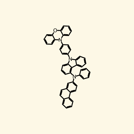 c1ccc(N(c2ccc3c(ccc4ccccc43)c2)c2cccc3c2c2ccccc2n3-c2ccc(N3c4ccccc4Oc4ccccc43)cc2)cc1